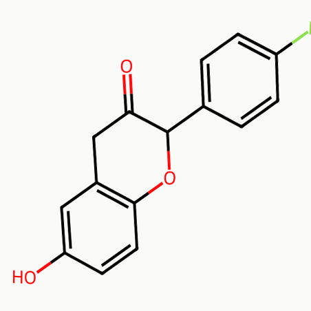 O=C1Cc2cc(O)ccc2OC1c1ccc(F)cc1